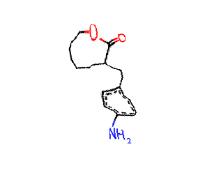 Nc1ccc(CC2CCCCOC2=O)cc1